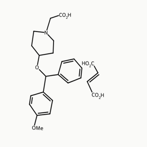 COc1ccc(C(OC2CCN(CC(=O)O)CC2)c2ccccc2)cc1.O=C(O)C=CC(=O)O